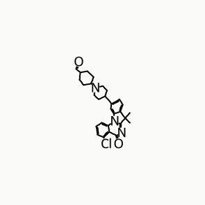 CC1(C)c2ccc(C3CCN(C4CCC(C=O)CC4)CC3)cc2-n2c1nc(=O)c1c(Cl)cccc12